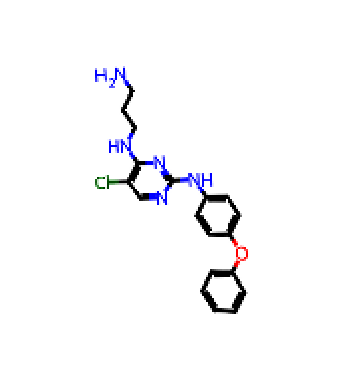 NCCCNc1nc(Nc2ccc(Oc3ccccc3)cc2)ncc1Cl